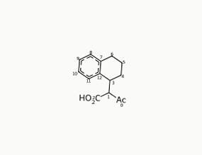 CC(=O)C(C(=O)O)C1CCCc2ccccc21